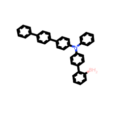 Bc1ccccc1-c1ccc(N(c2ccccc2)c2ccc(-c3ccc(-c4ccccc4)cc3)cc2)cc1